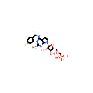 C[C@H](Nc1nc(C#N)nc2c1ccn2[C@@H]1O[C@H](COCP(=O)(O)O)[C@@H](O)[C@H]1O)c1ccc(F)cc1